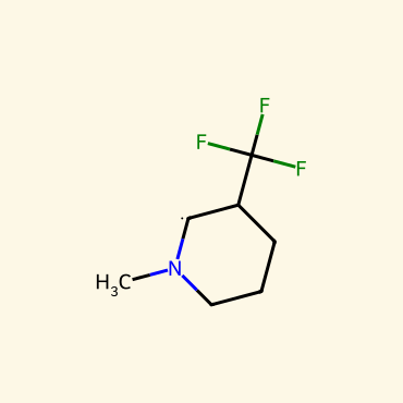 CN1[CH]C(C(F)(F)F)CCC1